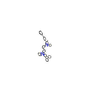 CC1=C(c2ccc(-c3ccccc3)cc2)C=C(c2cccc(-c3ccc4c5cc6c(cc5n(-c5ccccc5)c4c3)-c3ccccc3C63CCCCC3)c2)N=C(c2ccccc2)C1